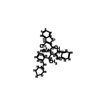 CCCCN(C(=O)c1sc2ccccc2c1Cl)C(c1nc2ccccc2[nH]1)C(C)c1ccccc1CN1CCCCC1